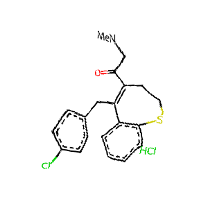 CNCC(=O)C1=C(Cc2ccc(Cl)cc2)c2ccccc2SCC1.Cl